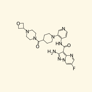 Nc1nn2cc(F)cnc2c1C(=O)Nc1ccncc1N1CCC(C(=O)N2CCN(C3COC3)CC2)CC1